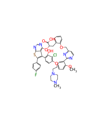 COc1ccccc1-c1nccc(COc2ccccc2CC(Oc2ncnc3sc(-c4ccc(F)cc4)c(-c4ccc(OCCN5CCN(C)CC5)c(Cl)c4O)c23)C(=O)O)n1